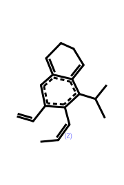 C=Cc1cc2c(c(C(C)C)c1/C=C\C)=CCCC=2